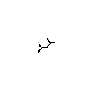 CN(C)C[SH](=O)=O